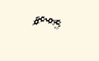 COc1cc(C(=O)NC2CCC(CCN3CCC(c4noc5cc(F)ccc45)CC3)CC2)ccn1